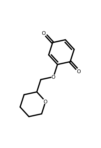 O=C1C=CC(=O)C(OCC2CCCCO2)=C1